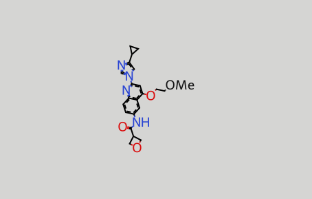 COCCOc1cc(-n2cnc(C3CC3)c2)nc2ccc(NC(=O)C3COC3)cc12